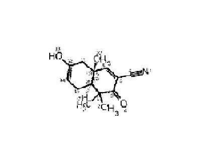 CC1(C)C(=O)C(C#N)=C[C@@]2(C)CC(O)=CC[C@H]12